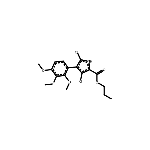 CCCOC(=O)c1[nH]c(Cl)c(-c2ccc(OC)c(OC)c2OC)c1Cl